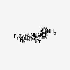 CC(C)c1cc(N2CCn3c(nnc3C(F)(F)F)C2)ncc1CNc1cccc2c(N)nccc12